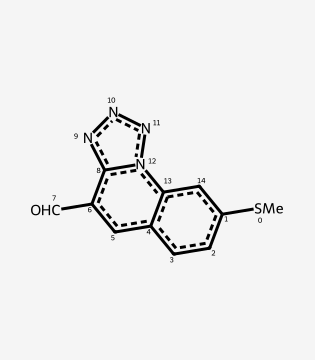 CSc1ccc2cc(C=O)c3nnnn3c2c1